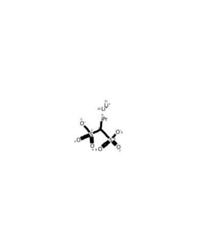 CC(C)C(S(=O)(=O)[O-])S(=O)(=O)[O-].[Li+].[Li+]